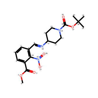 COC(=O)c1cccc(C=NC2CCN(C(=O)OC(C)(C)C)CC2)c1[N+](=O)[O-]